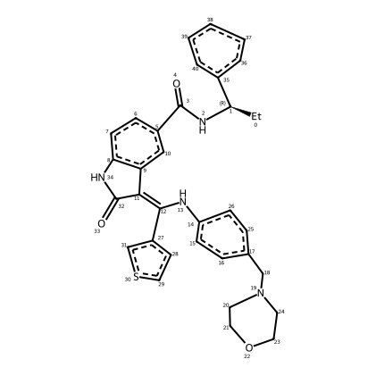 CC[C@@H](NC(=O)c1ccc2c(c1)C(=C(Nc1ccc(CN3CCOCC3)cc1)c1ccsc1)C(=O)N2)c1ccccc1